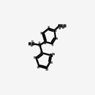 CN(c1ccc(C(=O)O)cc1)c1ccccn1